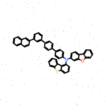 c1cc(-c2ccc(-c3ccc(N(c4ccc5c(c4)oc4ccccc45)c4cccc5sc6ccccc6c45)cc3)cc2)cc(-c2ccc3ccccc3c2)c1